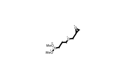 C[O][Ti]([CH2]CCOCC1CO1)[O]C